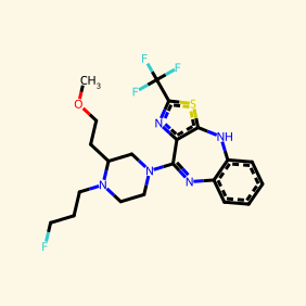 COCCC1CN(C2=Nc3ccccc3Nc3sc(C(F)(F)F)nc32)CCN1CCCF